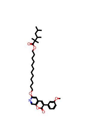 COc1cccc(-c2cc3cc(OCCCCCCCCCCCCOC(=O)C(C)(C)C(C)CC(C)C)ncc3oc2=O)c1